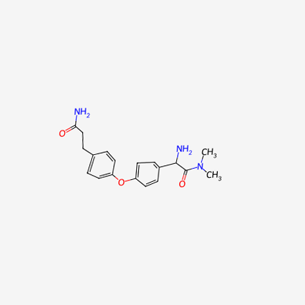 CN(C)C(=O)C(N)c1ccc(Oc2ccc(CCC(N)=O)cc2)cc1